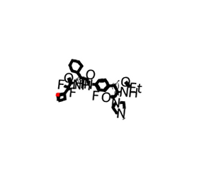 CCC(=O)N[C@@H](C(=O)N1CCN(C)CC1)[C@@H](C)c1ccc(NC(=O)[C@@H](NC(=O)C(F)(F)C23CC(C2)C3)C2CCCCC2)c(F)c1